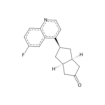 O=C1C[C@@H]2C[C@H](c3ccnc4ccc(F)cc34)C[C@@H]2C1